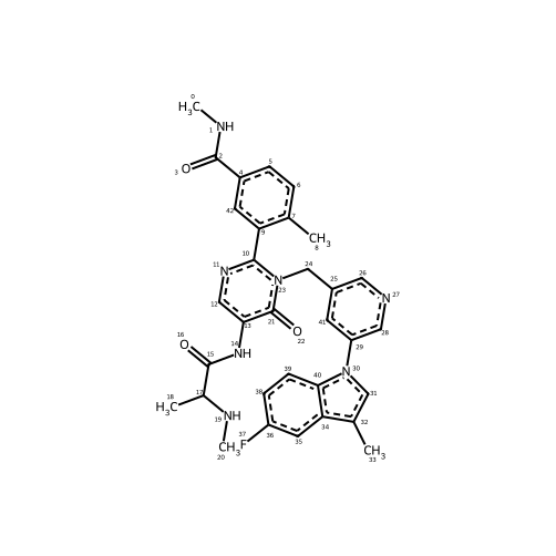 CNC(=O)c1ccc(C)c(-c2ncc(NC(=O)C(C)NC)c(=O)n2Cc2cncc(-n3cc(C)c4cc(F)ccc43)c2)c1